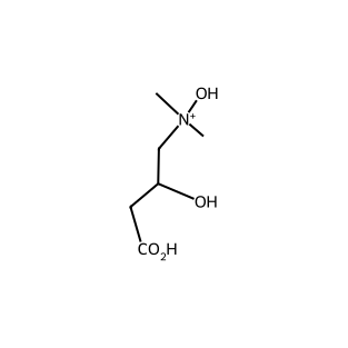 C[N+](C)(O)CC(O)CC(=O)O